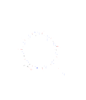 CCCC[C@@H](C)[C@@H](O)[C@H]1C(=O)N[C@@H](CC)C(=O)N(C)CC(=O)N(C)[C@@H](CC(C)(C)OCCN(CC)CC)C(=O)N[C@@H](C(C)C)C(=O)N(C)[C@@H](CC(C)C)C(=O)N[C@@H](C)C(=O)N[C@H](C)C(=O)N(C)[C@@H](CC(C)C)C(=O)N(C)[C@@H](CC(C)C)C(=O)N(C)[C@@H](C(C)C)C(=O)N1C